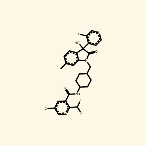 Cc1ccc2c(c1)N(CC1CCC(NC(=O)c3cc(Cl)cnc3C(F)F)CC1)C(=O)C2(O)c1ccncc1F